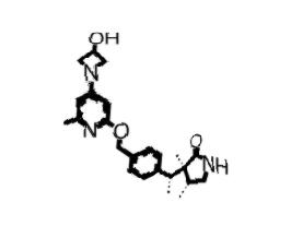 Cc1cc(N2CC(O)C2)cc(OCc2ccc([C@@H](C)[C@@]3(C)C(=O)NC[C@@H]3C)cc2)n1